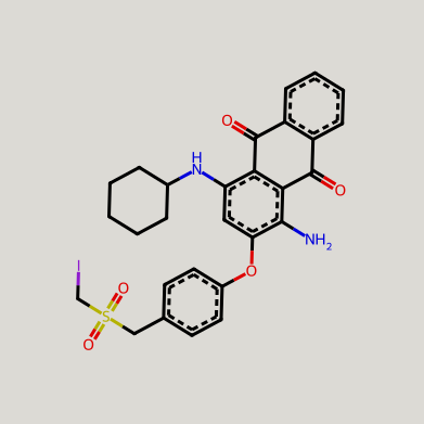 Nc1c(Oc2ccc(CS(=O)(=O)CI)cc2)cc(NC2CCCCC2)c2c1C(=O)c1ccccc1C2=O